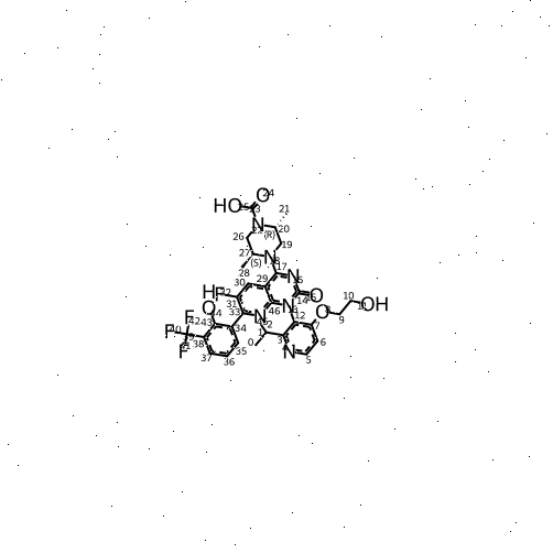 CC(C)c1nccc(OCCO)c1-n1c(=O)nc(N2C[C@@H](C)N(C(=O)O)C[C@@H]2C)c2cc(F)c(-c3cccc(C(F)(F)F)c3O)nc21